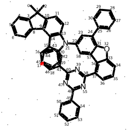 CC1(C)c2ccccc2-c2c1ccc1c2c2ccccc2n1-c1cc(-c2ccccc2)c2oc3cccc(-c4nc(-c5ccccc5)nc(-c5ccccc5)n4)c3c2c1